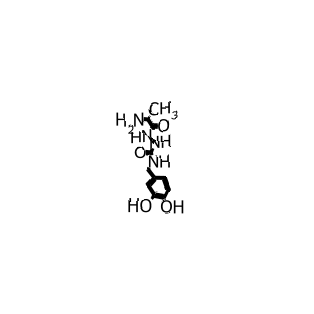 C[C@H](N)C(=O)NNC(=O)NCc1ccc(O)c(O)c1